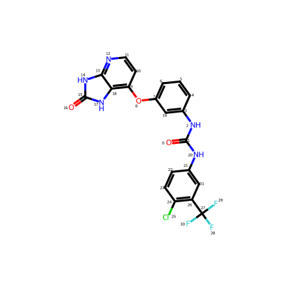 O=C(Nc1cccc(Oc2ccnc3[nH]c(=O)[nH]c23)c1)Nc1ccc(Cl)c(C(F)(F)F)c1